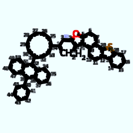 C=C(/C=c1/oc2ccc3c(ccc4c5ccccc5sc43)c2c1=C)c1ccccccc(-c2c3ccccc3c(-c3ccccc3)c3ccccc23)cc1